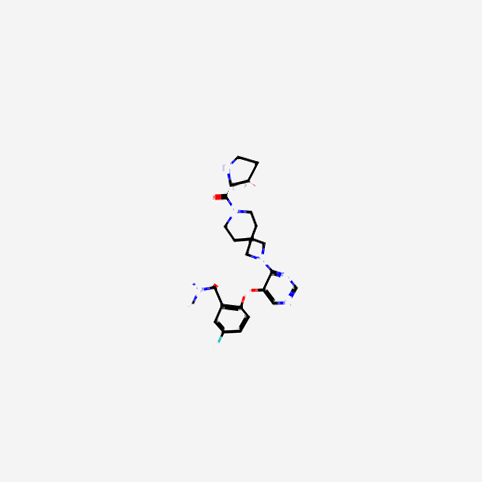 CCN(C(=O)c1cc(F)ccc1Oc1cncnc1N1CC2(CCN(C(=O)[C@H]3NCC[C@H]3O)CC2)C1)C(C)C